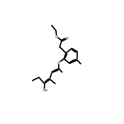 CCOC(=O)Cc1ccc(C)cc1O/C(C)=C/C(I)=C(/O)CC